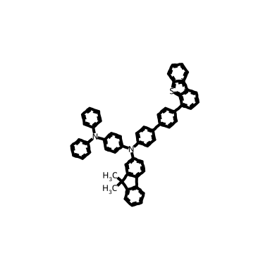 CC1(C)c2ccccc2-c2ccc(N(c3ccc(-c4ccc(-c5cccc6c5sc5ccccc56)cc4)cc3)c3ccc(N(c4ccccc4)c4ccccc4)cc3)cc21